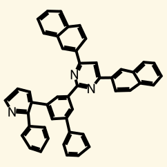 c1ccc(-c2cc(-c3nc(-c4ccc5ccccc5c4)cc(-c4ccc5ccccc5c4)n3)cc(-c3cccnc3-c3ccccc3)c2)cc1